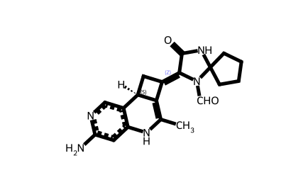 CC1=C2/C(=C3/C(=O)NC4(CCCC4)N3C=O)C[C@@H]2c2cnc(N)cc2N1